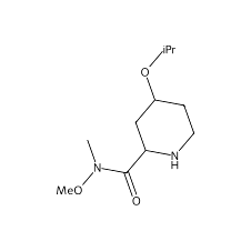 CON(C)C(=O)C1CC(OC(C)C)CCN1